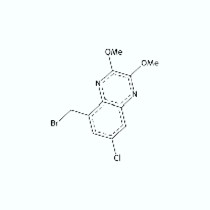 COc1nc2cc(Cl)cc(CBr)c2nc1OC